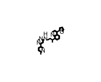 Cc1ccc(-c2cc(NCCC(C)c3cccc4c(-c5ccco5)ccnc34)ncn2)cn1